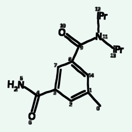 Cc1cc(C(N)=O)cc(C(=O)N(C(C)C)C(C)C)c1